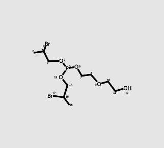 CC(Br)COP(OCCOCCO)OCC(C)Br